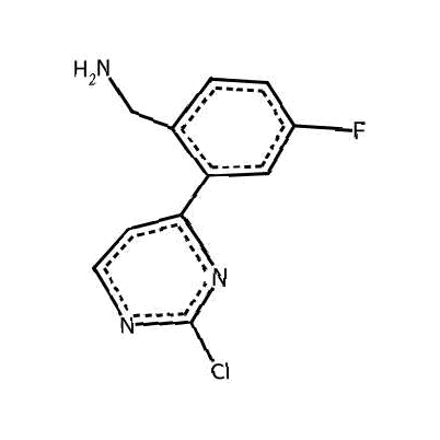 NCc1ccc(F)cc1-c1ccnc(Cl)n1